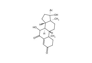 CC(=O)[C@@]1(O)CC[C@H]2[C@@H]3C(O)C(=O)C4=CC(=O)CC[C@]4(C)[C@H]3CC[C@@]21C